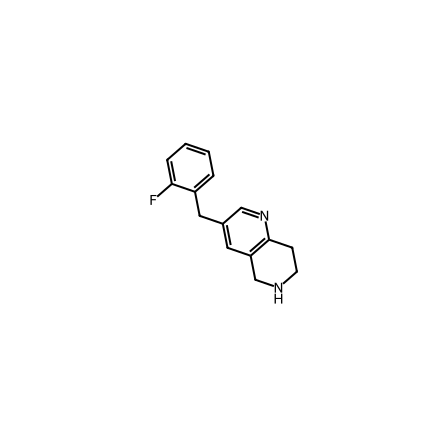 Fc1ccccc1Cc1cnc2c(c1)CNCC2